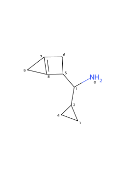 NC(C1CC1)C1CC2=C1C2